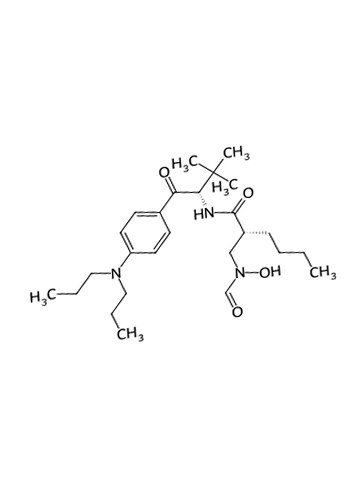 CCCC[C@H](CN(O)C=O)C(=O)N[C@H](C(=O)c1ccc(N(CCC)CCC)cc1)C(C)(C)C